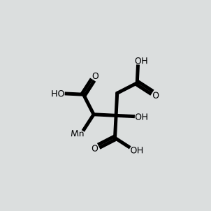 O=C(O)CC(O)(C(=O)O)[CH]([Mn])C(=O)O